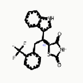 O=C1NC(=O)/C(=C(/Cc2ccccc2C(F)(F)F)c2c[nH]c3ccccc23)S1